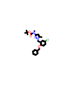 Cc1cc(N(C)C(=O)OC(C)(C)C)nn1Cc1cc(Cl)ccc1OCc1ccccc1